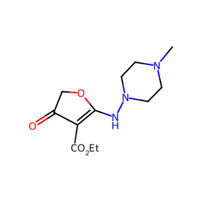 CCOC(=O)C1=C(NN2CCN(C)CC2)OCC1=O